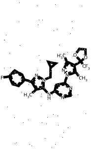 Cc1nn(-c2cc(Nc3c(C)c(-c4ccc(F)cc4)nn3CC3CC3)ncn2)c(C)c1C1(C(F)(F)F)OCCO1